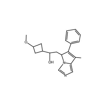 COC1CC(C(O)CC2C(c3ccccc3)=C(C)c3cncn32)C1